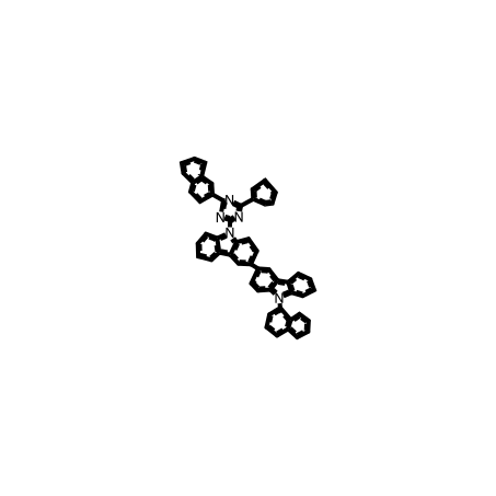 c1ccc(-c2nc(-c3ccc4ccccc4c3)nc(-n3c4ccccc4c4cc(-c5ccc6c(c5)c5ccccc5n6-c5cccc6ccccc56)ccc43)n2)cc1